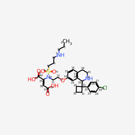 CCCNCCCS(=O)(=O)N(CCOc1ccc2c(c1)C(C1(c3ccc(Cl)cc3)CCC1)NCC2)/C(=C\C(=O)O)C(=O)O